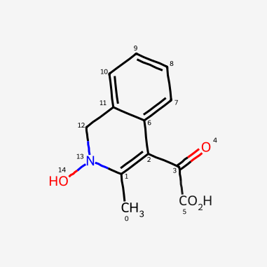 CC1=C(C(=O)C(=O)O)c2ccccc2CN1O